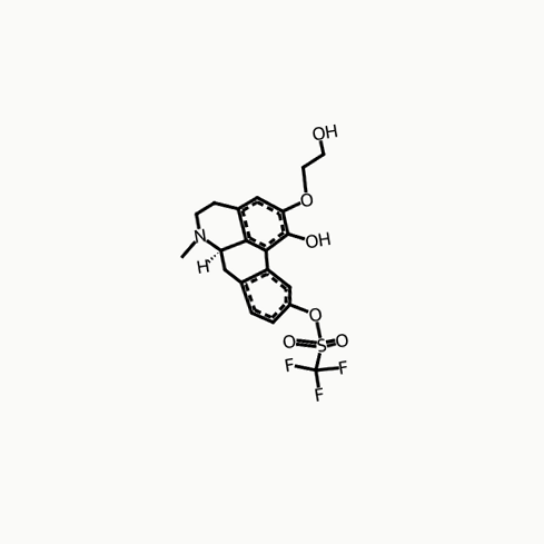 CN1CCc2cc(OCCO)c(O)c3c2[C@H]1Cc1ccc(OS(=O)(=O)C(F)(F)F)cc1-3